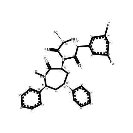 C[C@H](N)C(=O)N(C(=O)Cc1cc(F)cc(F)c1)[C@H]1C[C@H](c2ccccc2)C[C@@H](c2ccccc2)N(C)C1=O